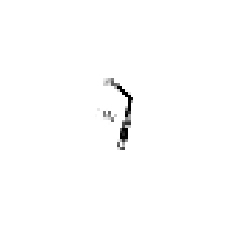 CC[CH2][Al]=[O].[CH3]